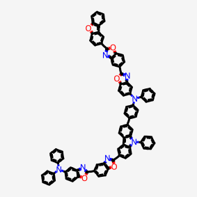 c1ccc(N(c2ccc(-c3ccc4c5cc(-c6nc7cc(-c8nc9cc(N(c%10ccccc%10)c%10ccccc%10)ccc9o8)ccc7o6)ccc5n(-c5ccccc5)c4c3)cc2)c2ccc3oc(-c4ccc5oc(-c6ccc7oc8ccccc8c7c6)nc5c4)nc3c2)cc1